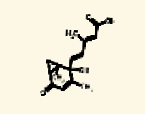 CC1=CC(=O)C2CC2(C)C1(O)/C=C/C(C)=C/C(=O)O